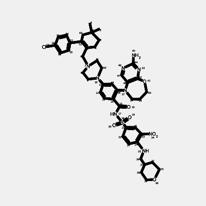 CC1(C)CCC(CN2CCN(c3ccc(C(=O)NS(=O)(=O)c4ccc(NCC5CCOCC5)c([N+](=O)[O-])c4)c(N4CCCOc5nc(N)ncc54)c3)CC2)=C(c2ccc(Cl)cc2)C1